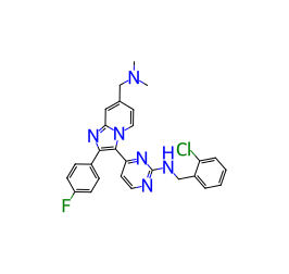 CN(C)Cc1ccn2c(-c3ccnc(NCc4ccccc4Cl)n3)c(-c3ccc(F)cc3)nc2c1